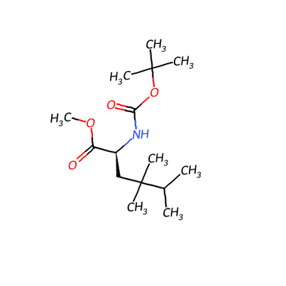 COC(=O)[C@H](CC(C)(C)C(C)C)NC(=O)OC(C)(C)C